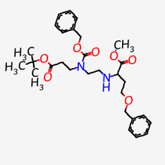 COC(=O)C(CCOCc1ccccc1)NCCN(CCC(=O)OC(C)(C)C)C(=O)OCc1ccccc1